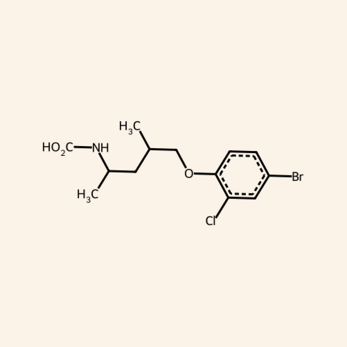 CC(COc1ccc(Br)cc1Cl)CC(C)NC(=O)O